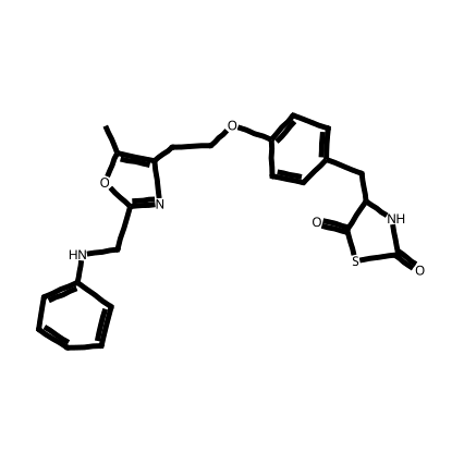 Cc1oc(CNc2ccccc2)nc1CCOc1ccc(CC2NC(=O)SC2=O)cc1